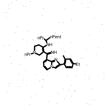 CCCCCC(CCC)NC1=C(C(=N)c2cccn3cc(-c4ccc(CC)cc4C)nc23)CN(CCC)CC1